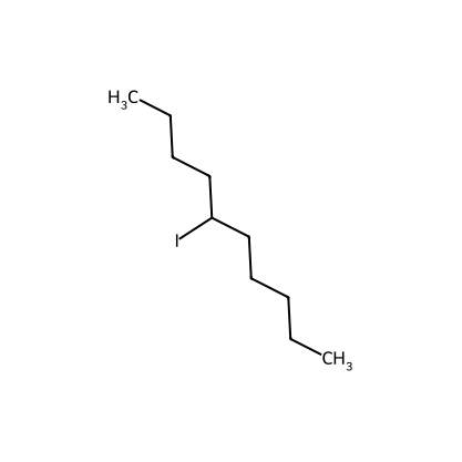 CCCCCC(I)CCCC